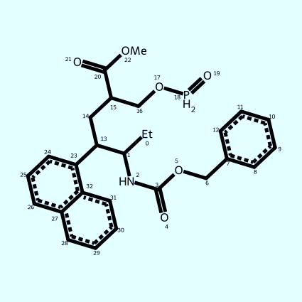 CCC(NC(=O)OCc1ccccc1)C(CC(CO[PH2]=O)C(=O)OC)c1cccc2ccccc12